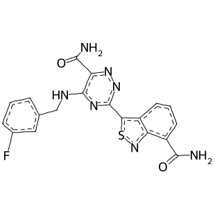 NC(=O)c1nnc(-c2snc3c(C(N)=O)cccc23)nc1NCc1cccc(F)c1